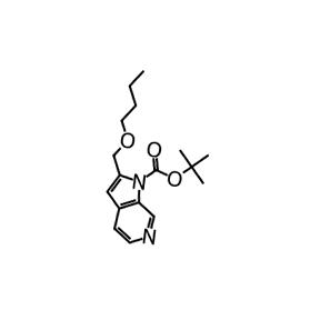 CCCCOCc1cc2ccncc2n1C(=O)OC(C)(C)C